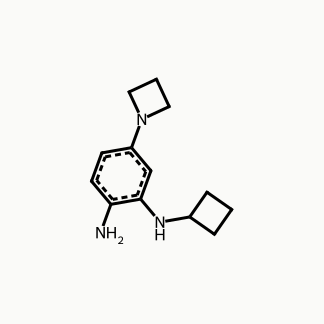 Nc1ccc(N2CCC2)cc1NC1CCC1